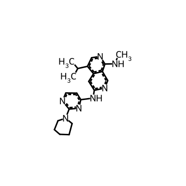 CNc1ncc(C(C)C)c2cc(Nc3ccnc(N4CCCCC4)n3)ncc12